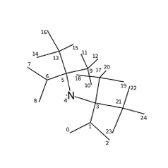 CC(C)C([N]C(C(C)C)(C(C)(C)C)C(C)(C)C)(C(C)(C)C)C(C)(C)C